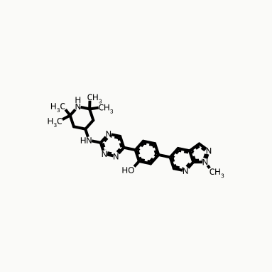 Cn1ncc2cc(-c3ccc(-c4cnc(NC5CC(C)(C)NC(C)(C)C5)nn4)c(O)c3)cnc21